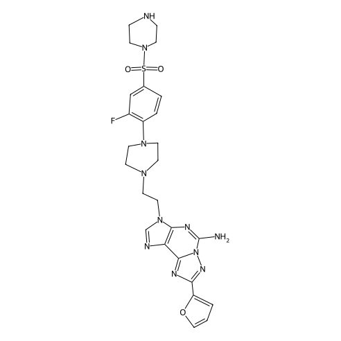 Nc1nc2c(ncn2CCN2CCN(c3ccc(S(=O)(=O)N4CCNCC4)cc3F)CC2)c2nc(-c3ccco3)nn12